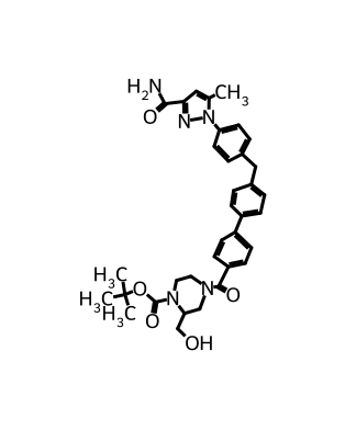 Cc1cc(C(N)=O)nn1-c1ccc(Cc2ccc(-c3ccc(C(=O)N4CCN(C(=O)OC(C)(C)C)C(CO)C4)cc3)cc2)cc1